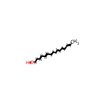 CC=CC=CC=CCCCCCCCCCO